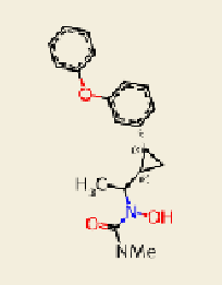 CNC(=O)N(O)C(C)[C@@H]1C[C@H]1c1cccc(Oc2ccccc2)c1